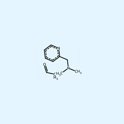 CC=O.CN(C)Cc1ccccn1